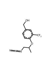 CC(CN=[N+]=[N-])Oc1ccc(CO)cc1C(F)(F)F